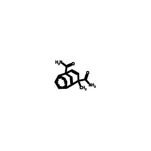 CC1(C(N)=O)C=CC2(C(N)=O)C=C1c1ccc2cc1